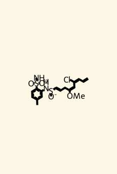 C=C/C=C(Cl)\C=C(/C/C=C/[S+]([O-])Nc1cc(C)ccc1S(N)(=O)=O)OC